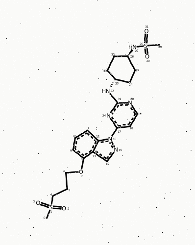 CS(=O)(=O)CCCOc1cccc2c1cnn2-c1ccnc(N[C@H]2CC[C@H](NS(C)(=O)=O)CC2)n1